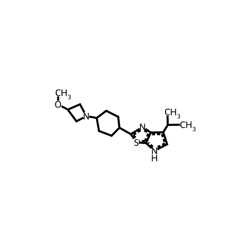 COC1CN(C2CCC(c3nc4c(C(C)C)c[nH]c4s3)CC2)C1